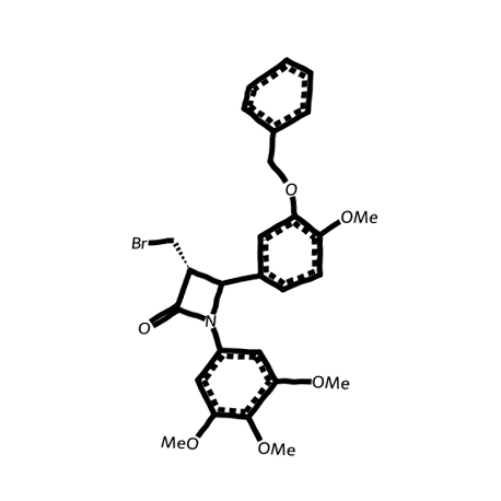 COc1ccc(C2[C@@H](CBr)C(=O)N2c2cc(OC)c(OC)c(OC)c2)cc1OCc1ccccc1